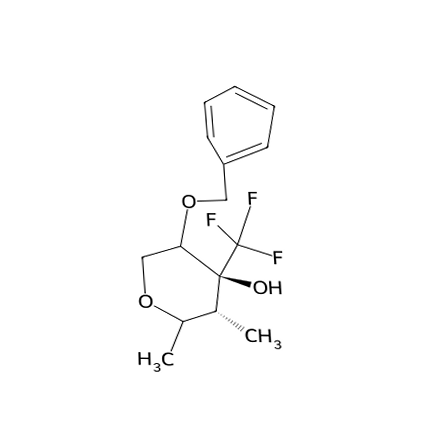 CC1OCC(OCc2ccccc2)[C@](O)(C(F)(F)F)[C@@H]1C